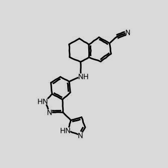 N#Cc1ccc2c(c1)CCCC2Nc1ccc2[nH]nc(-c3ccn[nH]3)c2c1